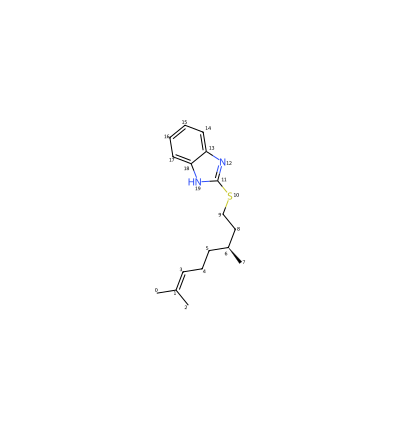 CC(C)=CCC[C@H](C)CCSc1nc2ccccc2[nH]1